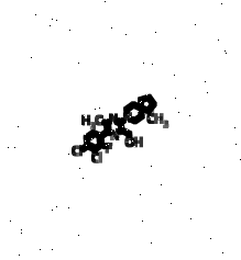 Cc1nc(N2CCC3(CCC[C@H]3C)CC2)c(CO)nc1-c1ccc(Cl)c(Cl)c1F